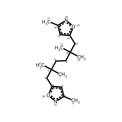 Cc1cc(CC(C)(C)CCC(C)(C)Cc2cc(C)no2)on1